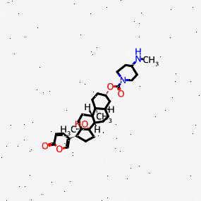 CNC1CCN(C(=O)O[C@H]2CC[C@@]3(C)[C@H](CC[C@@H]4[C@@H]3CC[C@]3(C)[C@@H](c5ccc(=O)oc5)CC[C@]43O)C2)CC1